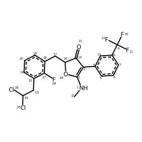 CNC1=C(c2cccc(C(F)(F)F)c2)C(=O)C(Cc2cccc(CC(Cl)Cl)c2F)O1